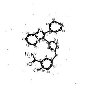 NC(=O)c1cc(Cn2cc(-c3c(-c4ccncc4)nc4ccccn34)nn2)ccc1Cl